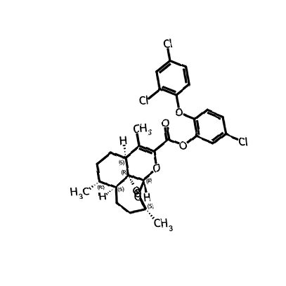 CC1=C(C(=O)Oc2cc(Cl)ccc2Oc2ccc(Cl)cc2Cl)O[C@@H]2O[C@]3(C)CC[C@H]4[C@H](C)CC[C@@H]1[C@@]24OO3